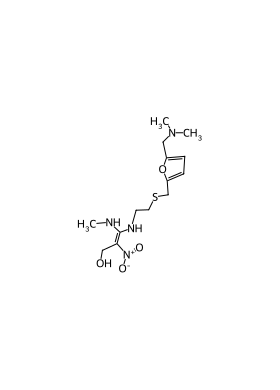 CNC(NCCSCc1ccc(CN(C)C)o1)=C(CO)[N+](=O)[O-]